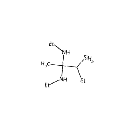 CCNC(C)(NCC)C([SiH3])CC